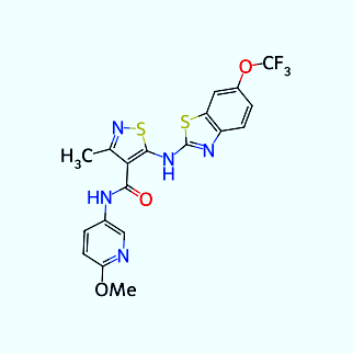 COc1ccc(NC(=O)c2c(C)nsc2Nc2nc3ccc(OC(F)(F)F)cc3s2)cn1